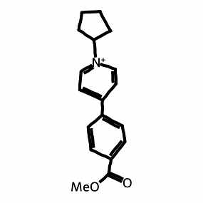 COC(=O)c1ccc(-c2cc[n+](C3CCCC3)cc2)cc1